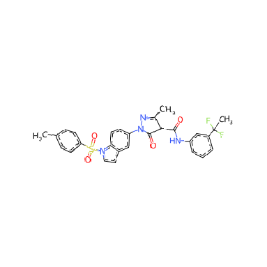 CC1=NN(c2ccc3c(ccn3S(=O)(=O)c3ccc(C)cc3)c2)C(=O)C1C(=O)Nc1cccc(C(C)(F)F)c1